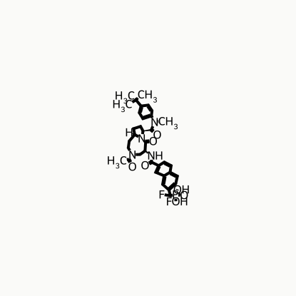 CC(=O)N1CC[C@H]2CC[C@@H](C(=O)N(C)c3ccc(C(C)(C)C)cc3)N2C(=O)[C@@H](NC(=O)c2ccc3ccc(C(F)(F)P(=O)(O)O)cc3c2)C1